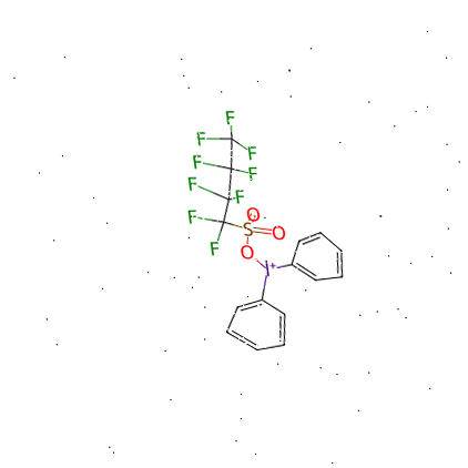 O=S(=O)(O[I+](c1ccccc1)c1ccccc1)C(F)(F)C(F)(F)C(F)(F)C(F)(F)F